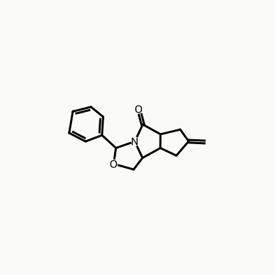 C=C1CC2C(=O)N3C(c4ccccc4)OCC3C2C1